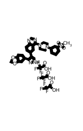 CS(=O)(=O)c1cccc(N2CCN(c3ncnc4ccc(-c5c[nH]nc5-c5ccc6c(c5)OCO6)cc34)CC2)c1.O=C(O)C(F)(F)F.O=C(O)C(F)(F)F.O=C(O)C(F)(F)F